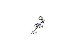 C=C/C(=C\CC(C)OC1CCCCC1)NC(=O)CCCCNC